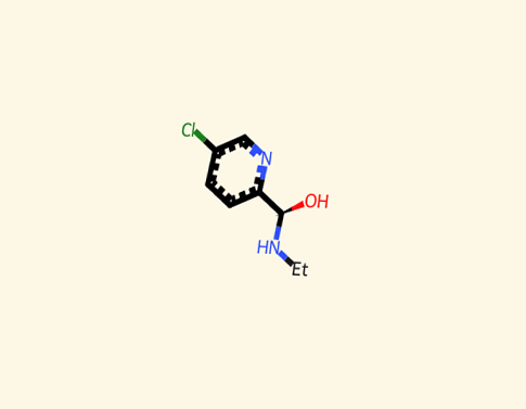 CCN[C@H](O)c1ccc(Cl)cn1